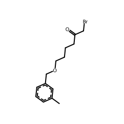 Cc1cccc(COCCCCC(=O)CBr)c1